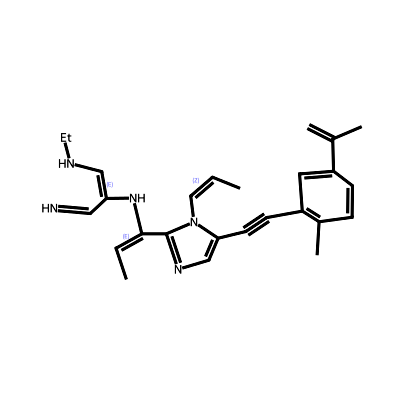 C=C(C)c1ccc(C)c(C#Cc2cnc(/C(=C\C)N/C(C=N)=C/NCC)n2/C=C\C)c1